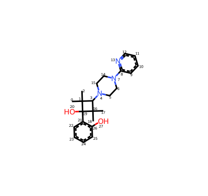 CC1(C)C(N2CCN(c3ccccn3)CC2)C(C)(C)C1(O)c1ccccc1O